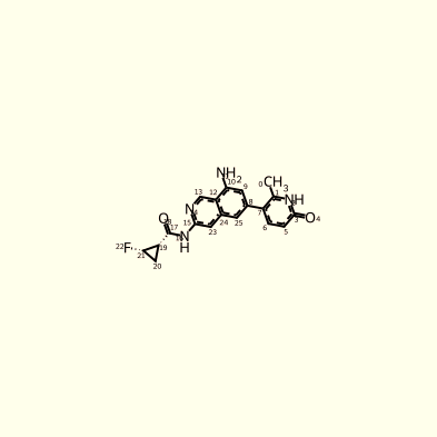 Cc1[nH]c(=O)ccc1-c1cc(N)c2cnc(NC(=O)[C@@H]3C[C@@H]3F)cc2c1